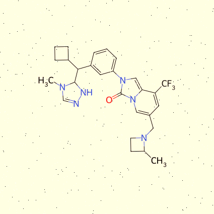 CC1CCN1Cc1cc(C(F)(F)F)c2cn(-c3cccc(C(C4CCC4)C4NN=CN4C)c3)c(=O)n2c1